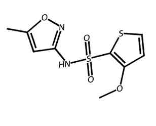 COc1ccsc1S(=O)(=O)Nc1cc(C)on1